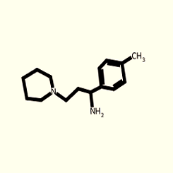 Cc1ccc(C(N)CCN2CCCCC2)cc1